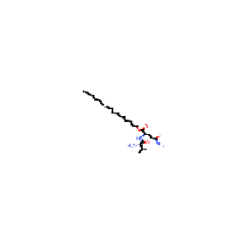 CCCCCCCCCCCCCCCCCCOC(=O)[C@@H](CCC(N)=O)NC(=O)[C@@H](N)C(C)C